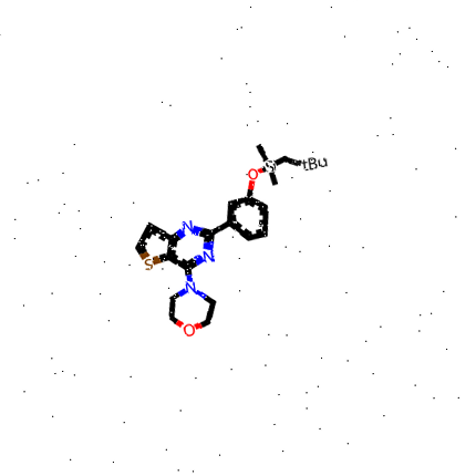 CC(C)(C)C[Si](C)(C)Oc1cccc(-c2nc(N3CCOCC3)c3sccc3n2)c1